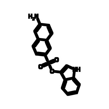 Nc1ccc2cc(S(=O)(=O)Oc3c[nH]c4ccccc34)ccc2c1